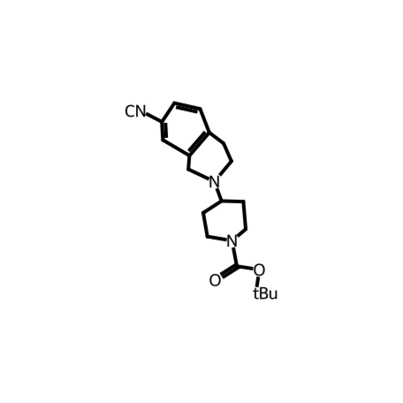 [C-]#[N+]c1ccc2c(c1)CN(C1CCN(C(=O)OC(C)(C)C)CC1)CC2